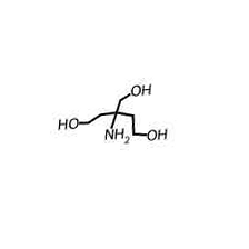 NC(CO)(CCO)CCO